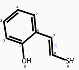 Oc1ccccc1/C=C/S